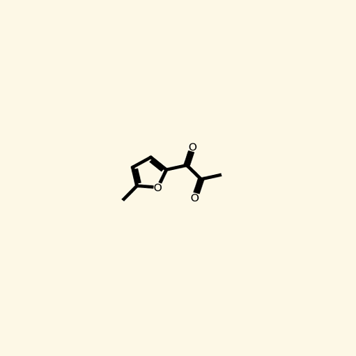 CC(=O)C(=O)c1ccc(C)o1